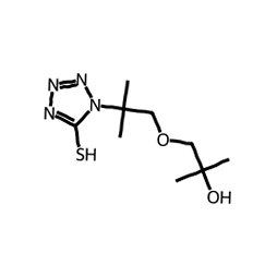 CC(C)(O)COCC(C)(C)n1nnnc1S